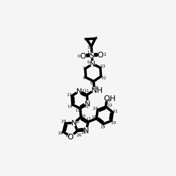 O=S(=O)(C1CC1)N1CCC(Nc2nccc(-c3c(-c4cccc(O)c4)nc4occn34)n2)CC1